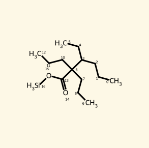 CCCC(CC)C(CCC)(CCC)C(=O)O[SiH3]